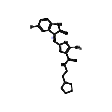 Cc1[se]c(/C=C2\C(=O)Nc3ccc(F)cc32)cc1C(=O)NCCN1CCCC1